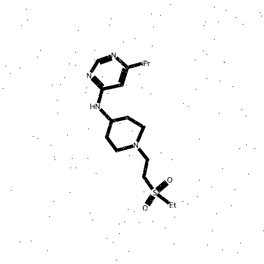 CCS(=O)(=O)CCN1CCC(Nc2cc(C(C)C)ncn2)CC1